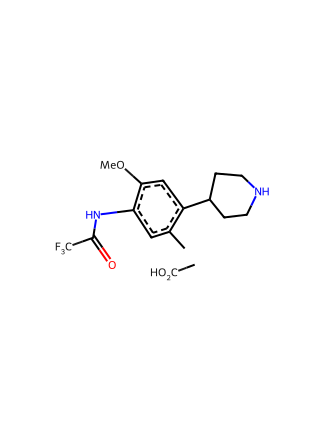 CC(=O)O.COc1cc(C2CCNCC2)c(C)cc1NC(=O)C(F)(F)F